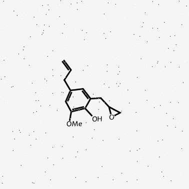 C=CCc1cc(CC2CO2)c(O)c(OC)c1